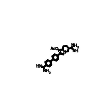 CC(=O)ON1C(c2ccc(-c3ccc(C(=N)N)cc3)cc2)=CN2CC(C(=N)N)CCC21